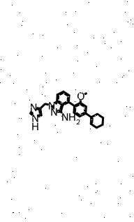 COc1cc(C2=CCCCC2)ccc1-c1cccc2c1c(N)nn2Cc1c[nH]cn1